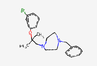 CC(C)(CN1CCN(Cc2ccccc2)CC1)Oc1cccc(Br)c1